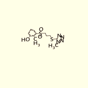 Cc1c(O)cccc1S(=O)(=O)CCCSc1nnnn1C